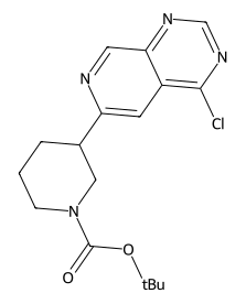 CC(C)(C)OC(=O)N1CCCC(c2cc3c(Cl)ncnc3cn2)C1